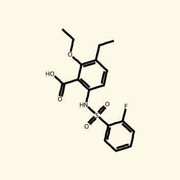 CCOc1c(CC)ccc(NS(=O)(=O)c2ccccc2F)c1C(=O)O